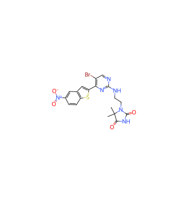 CC1(C)C(=O)NC(=O)N1CCNc1ncc(Br)c(-c2cc3cc([N+](=O)[O-])ccc3s2)n1